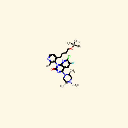 CC(C)c1nccc(CCCCO[Si](C)(C)C(C)(C)C)c1-n1c(=O)nc(N2C[C@@H](C)N(C(=O)O)C[C@@H]2C)c2cc(F)c(Cl)nc21